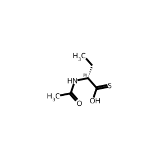 CC[C@@H](NC(C)=O)C(O)=S